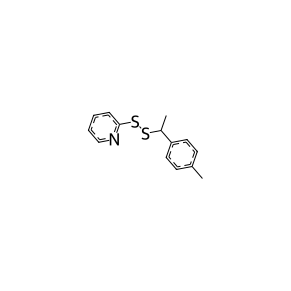 Cc1ccc(C(C)SSc2ccccn2)cc1